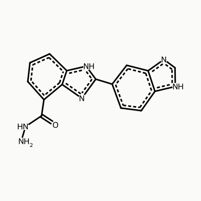 NNC(=O)c1cccc2[nH]c(-c3ccc4[nH]cnc4c3)nc12